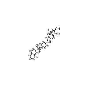 CCC(C(O)O)N1Cc2sc(-c3ccc(NC(=O)c4ccc5ccccc5c4)cc3)cc2S1(=O)=O